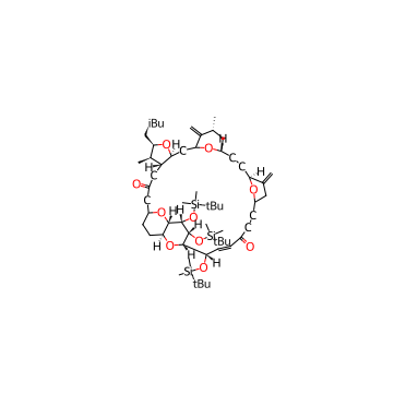 C=C1C2C[C@@H]3O[C@H](C[C@H](C)CC)[C@H](C)[C@H]3CC(=O)CC3CC[C@@H]4O[C@H]([C@@H](O[Si](C)(C)C(C)(C)C)[C@@H](O[Si](C)(C)C(C)(C)C)[C@H]4O3)[C@@H](O[Si](C)(C)C(C)(C)C)/C=C/C(=O)CCC3CC(=C)[C@H](CC[C@@H](C[C@H]1C)O2)O3